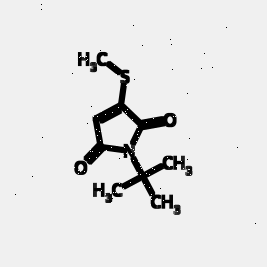 CSC1=CC(=O)N(C(C)(C)C)C1=O